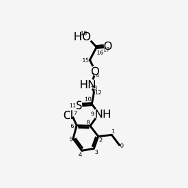 CCc1cccc(Cl)c1NC(=S)CNOCC(=O)O